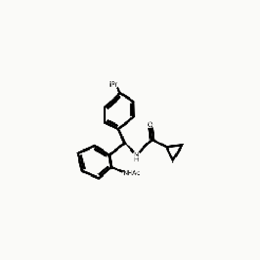 CC(=O)Nc1ccccc1[C@H](NC(=O)C1CC1)c1ccc(C(C)C)cc1